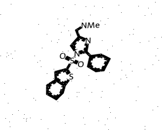 CNCc1cn(S(=O)(=O)c2cc3ccccc3s2)c(-c2ccccc2)n1